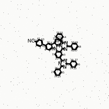 N#Cc1ccc(-c2ccc3c(c2)c2ccccc2n3-c2ccc(-c3nc(-c4ccccc4)nc(-c4ccccc4)n3)cc2-c2nc(-c3ccccc3)nc(-c3ccccc3)n2)cc1